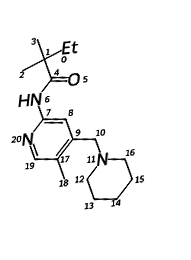 CCC(C)(C)C(=O)Nc1cc(CN2CCCCC2)c(C)cn1